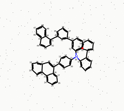 c1ccc(-c2ccccc2N(c2ccc(-c3cc4ccccc4c4ccccc34)cc2)c2cccc(-c3cccc(-c4cccc5ccccc45)c3)c2)cc1